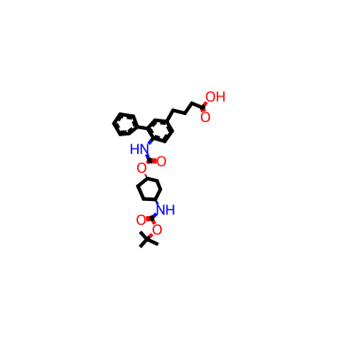 CC(C)(C)OC(=O)N[C@H]1CC[C@H](OC(=O)Nc2ccc(CCCC(=O)O)cc2-c2ccccc2)CC1